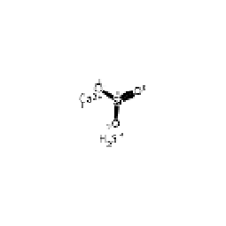 O=[Si]([O-])[O-].S.[Ca+2]